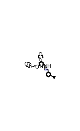 C(=N\Nc1cc(N2CCOCC2)cc(OCCN2CCOCC2)n1)/c1cccc(C2CC2)c1